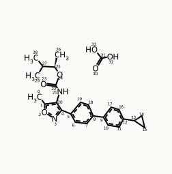 Cc1onc(-c2ccc(-c3ccc(C4CC4)cc3)cc2)c1NC(=O)O[C@H](C)C(C)C.O=C(O)O